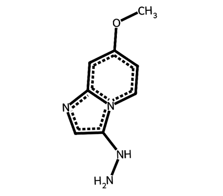 COc1ccn2c(NN)cnc2c1